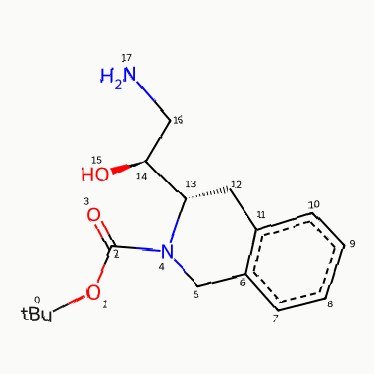 CC(C)(C)OC(=O)N1Cc2ccccc2C[C@H]1[C@@H](O)CN